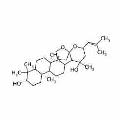 CC(C)=CC1CC(C)(O)C2C3CCC4[C@@]5(C)CC[C@H](O)C(C)(C)C5CC[C@@]4(C)C34COC2(C4)O1